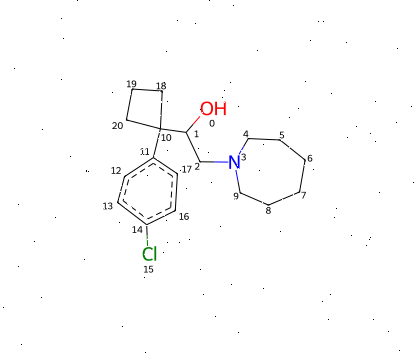 OC(CN1CCCCCC1)C1(c2ccc(Cl)cc2)CCC1